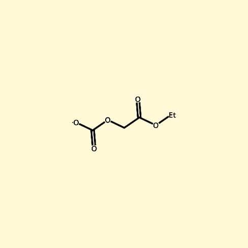 CCOC(=O)COC([O])=O